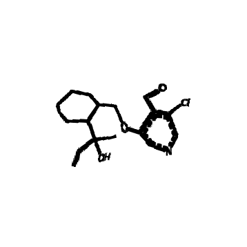 CCC(C)(O)C1CCCCC1COc1cncc(Cl)c1C=O